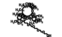 CC[C@@H]1O[C@@H](O[C@H]2[C@H](C)[C@@H](O[C@@H]3O[C@H](C)C[C@H](N(C)C)[C@H]3OC(=O)CCOCCOCCOCCOCCO)[C@](C)(O)C[C@@H](C)CN(C)[C@H](C)[C@@H](O)[C@](C)(O)[C@@H](C)OC(=O)[C@@H]2C)C[C@@](C)(OC)[C@H]1O